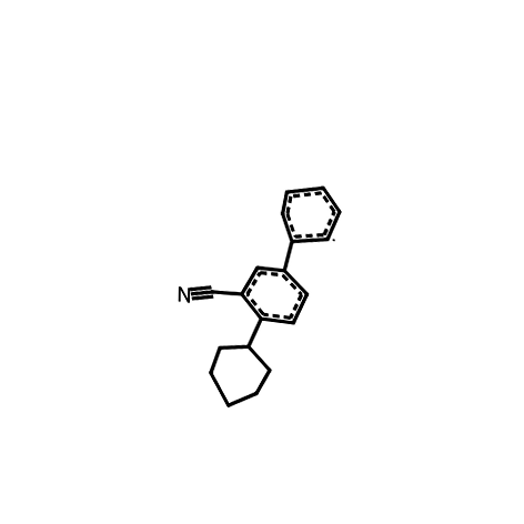 N#Cc1cc(-c2[c]cccc2)ccc1C1CCCCC1